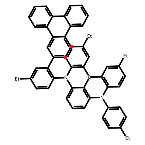 CCc1ccc(N2c3ccc(CC)cc3B3c4cc(CC)ccc4N(c4ccc(CC)cc4-c4ccc5c6ccccc6c6ccccc6c5c4)c4cccc2c43)cc1